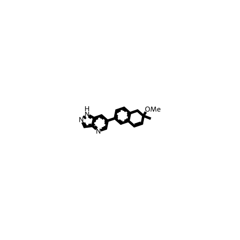 COC1(C)C=Cc2cc(-c3cnc4cn[nH]c4c3)ccc2C1